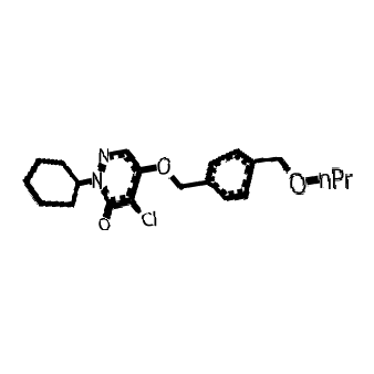 CCCOCc1ccc(COc2cnn(C3CCCCC3)c(=O)c2Cl)cc1